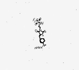 CCCCCCN(C)c1ccc(/C=C2\SC(=S)N(CCNS(=O)(=O)C(F)(F)F)C2=O)cc1